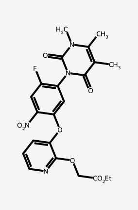 CCOC(=O)COc1ncccc1Oc1cc(-n2c(=O)c(C)c(C)n(C)c2=O)c(F)cc1[N+](=O)[O-]